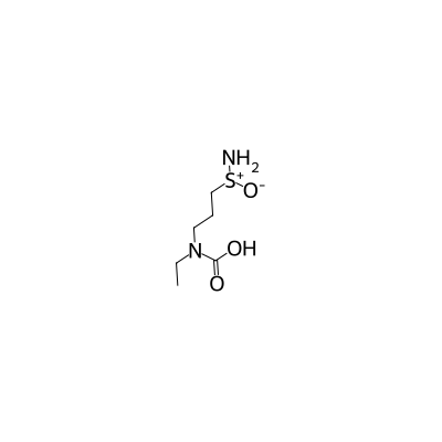 CCN(CCC[S+](N)[O-])C(=O)O